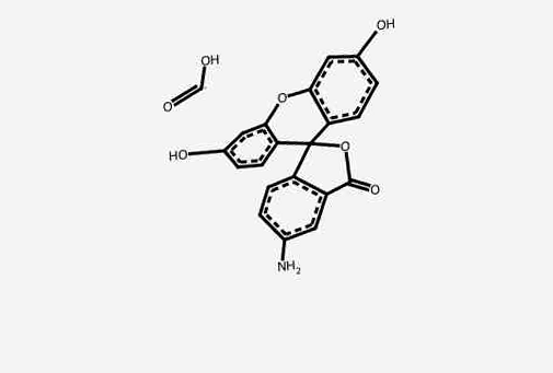 Nc1ccc2c(c1)C(=O)OC21c2ccc(O)cc2Oc2cc(O)ccc21.O=[C]O